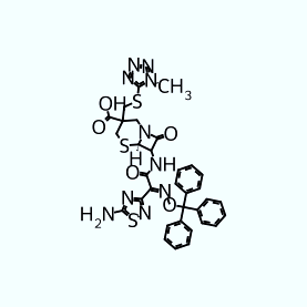 Cn1nnnc1SCC1(C(=O)O)CS[C@@H]2C(NC(=O)C(=NOC(c3ccccc3)(c3ccccc3)c3ccccc3)c3nsc(N)n3)C(=O)N2C1